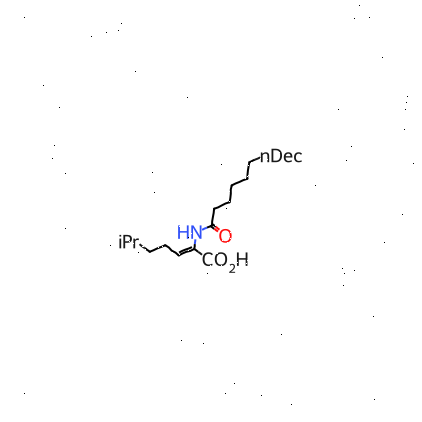 CCCCCCCCCCCCCCCC(=O)N/C(=C\CCC(C)C)C(=O)O